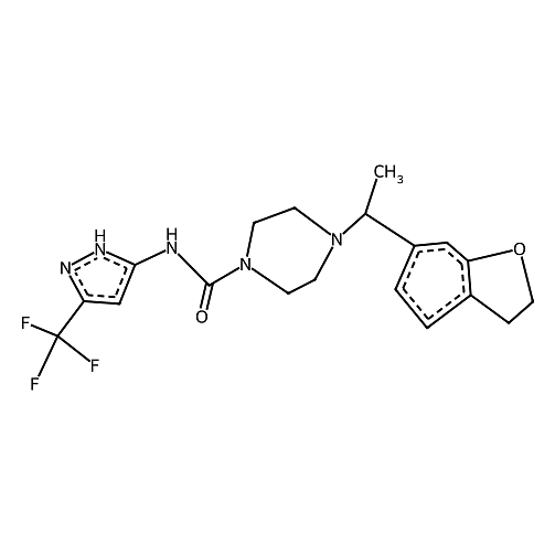 CC(c1ccc2c(c1)OCC2)N1CCN(C(=O)Nc2cc(C(F)(F)F)n[nH]2)CC1